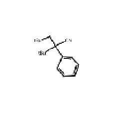 CC(C)(C)CC(C#N)(c1ccccc1)C(C)(C)C